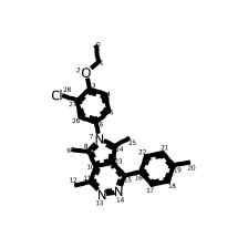 CCOc1ccc(-n2c(C)c3c(C)nnc(-c4ccc(C)cc4)c3c2C)cc1Cl